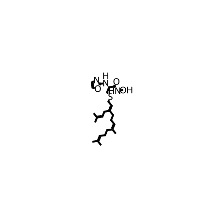 CC(C)=CCCC(C)=CCCC(=CCSCC(Nc1ncco1)C(=O)NO)CC=C(C)C